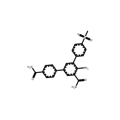 CS(=O)(=O)c1ccc(-c2cc(-c3ccc(C(N)=O)cc3)cc(C(N)=O)c2N)cc1